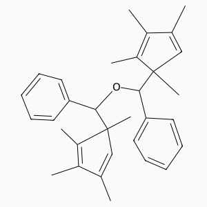 CC1=CC(C)(C(OC(c2ccccc2)C2(C)C=C(C)C(C)=C2C)c2ccccc2)C(C)=C1C